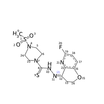 CS(=O)(=O)N1CCN(C(=S)N/N=C2/CCOc3ccc(F)nc32)CC1